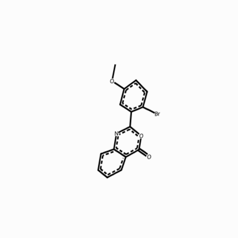 COc1ccc(Br)c(-c2nc3ccccc3c(=O)o2)c1